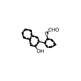 O=COc1ccccc1-c1cc2ccccc2cc1O